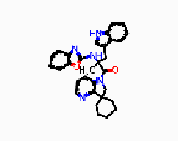 CC(Cc1c[nH]c2ccccc12)(Nc1nc2ccccc2o1)C(=O)NCC1(c2ccccn2)CCCCC1